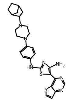 Nc1nc(Nc2ccc(N3CCN(C4CC5CCC4C5)CC3)cc2)sc1-c1ncnc2ccsc12